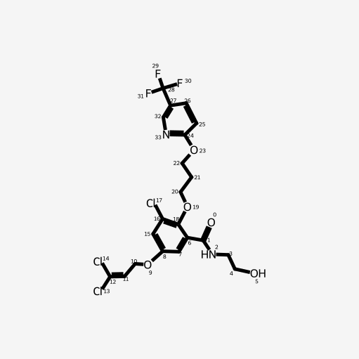 O=C(NCCO)c1cc(OCC=C(Cl)Cl)cc(Cl)c1OCCCOc1ccc(C(F)(F)F)cn1